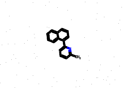 Cc1cccc(-c2cccc3ccccc23)n1